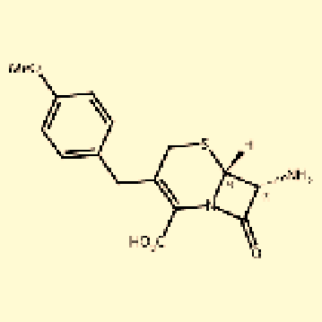 COc1ccc(CC2=C(C(=O)O)N3C(=O)[C@@H](N)[C@H]3SC2)cc1